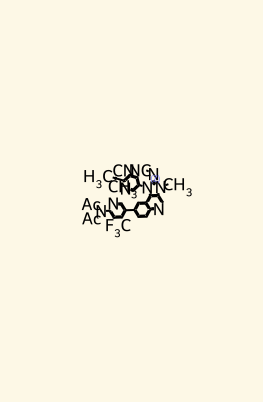 CC(=O)N(C(C)=O)c1ncc(-c2ccc3ncc4c(c3c2)n(-c2ccc(C(C)(C)C#N)nc2)/c(=N\C#N)n4C)cc1C(F)(F)F